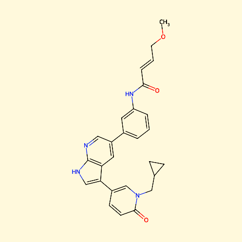 COCC=CC(=O)Nc1cccc(-c2cnc3[nH]cc(-c4ccc(=O)n(CC5CC5)c4)c3c2)c1